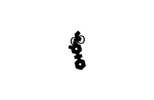 C=CC(=O)Oc1ccc(C(C)(C)c2ccccc2)cc1C